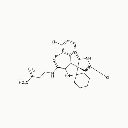 C=C(CCNC(=O)[C@@H]1NC2(CCCCC2)[C@@]2(C(=O)Nc3cc(Cl)ccc32)[C@H]1c1cccc(Cl)c1F)C(=O)O